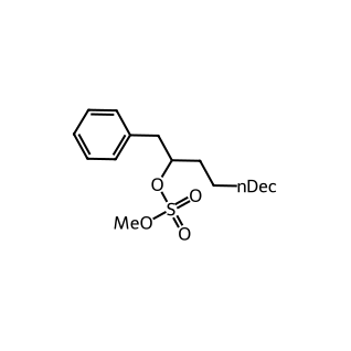 CCCCCCCCCCCCC(Cc1ccccc1)OS(=O)(=O)OC